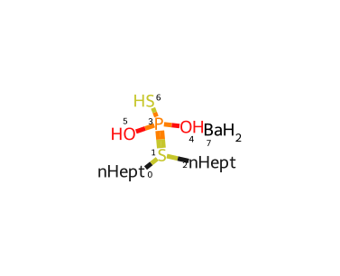 CCCCCCCS(CCCCCCC)=P(O)(O)S.[BaH2]